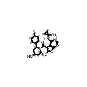 Cc1oc2ncnc(NC3(C)CC3)c2c1C(=O)N1CCC(O)CC1c1ccc(F)cc1